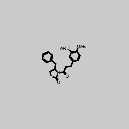 COc1ccc(CCC(=O)N2C(=O)OCC2Cc2ccccc2)cc1OC